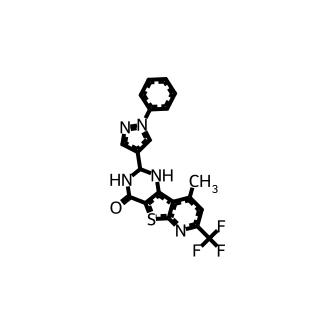 Cc1cc(C(F)(F)F)nc2sc3c(c12)NC(c1cnn(-c2ccccc2)c1)NC3=O